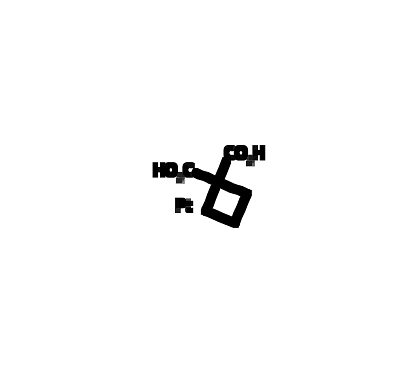 O=C(O)C1(C(=O)O)CCC1.[Pt]